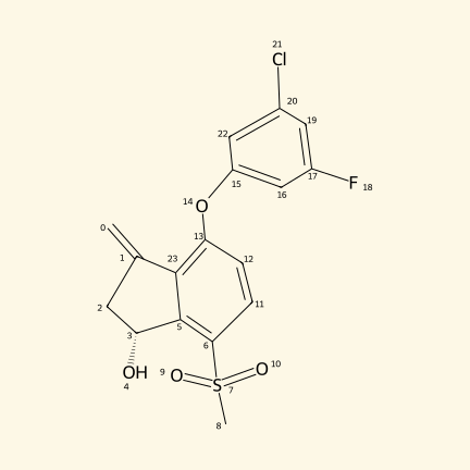 C=C1C[C@@H](O)c2c(S(C)(=O)=O)ccc(Oc3cc(F)cc(Cl)c3)c21